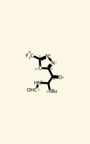 CCCCC(NC=O)C(=O)c1nnc(C(F)(F)F)o1